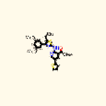 COC(=O)c1cc(-c2cccs2)cnc1Nc1nc(-c2cc(OC)cc(OC)c2)c(CC(C)(C)C)s1